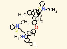 C=C(/C=C/C=C1\Sc2ccccc2N1CCC)C(C)(Cc1ccc(Oc2ccc(CC3(C)C(/C=C/C=C4\Sc5ccccc5N4CCC)=[N+](C)c4ccc(C)cc43)cc2)cc1)c1cc(C)ccc1C